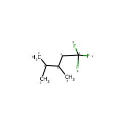 CC(C)C(C)CC(F)(F)F